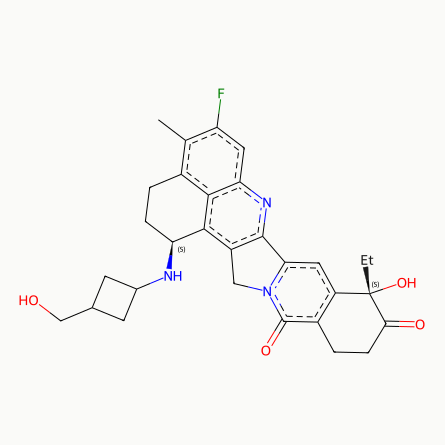 CC[C@@]1(O)C(=O)CCc2c1cc1n(c2=O)Cc2c-1nc1cc(F)c(C)c3c1c2[C@@H](NC1CC(CO)C1)CC3